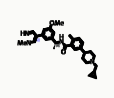 CN/C=C(\C=N)c1cc(OC)cc([C@@H](C)NC(=O)c2cc(C3CCN(CC4CC4)CC3)ccc2C)c1